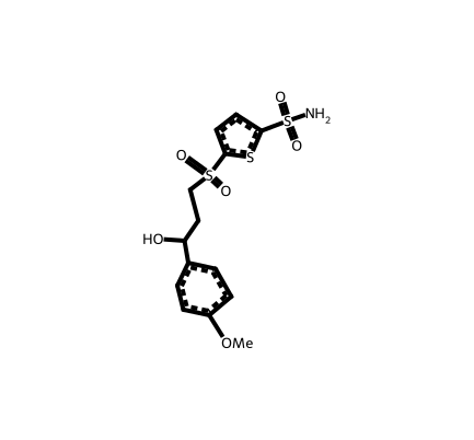 COc1ccc(C(O)CCS(=O)(=O)c2ccc(S(N)(=O)=O)s2)cc1